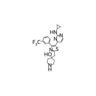 OC1(Cc2nc(-c3cccc(C(F)(F)F)c3)c(-c3ccnc(NC4CC4)n3)s2)CCNCC1